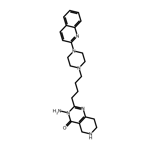 Nn1c(CCCCN2CCN(c3ccc4ccccc4n3)CC2)nc2c(c1=O)CNCC2